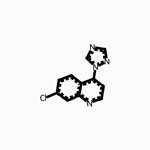 Clc1ccc2c(-n3cncn3)ccnc2c1